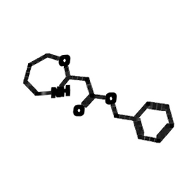 O=C(CC1NCCCCO1)OCc1ccccc1